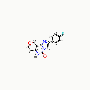 CN(C(=O)n1cnc(-c2ccc(F)cc2)c1)C1CCOCC1